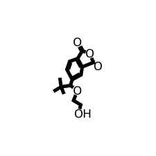 CC(C)(C)C(OCCO)c1ccc2c(c1)C(=O)OC2=O